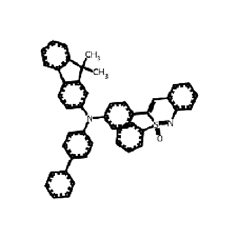 CC1(C)c2ccccc2-c2ccc(N(c3ccc(C4=Cc5ccccc5N=S4(=O)c4ccccc4)cc3)c3ccc(-c4ccccc4)cc3)cc21